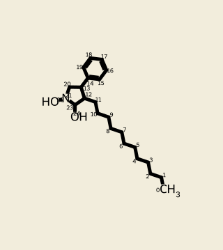 CCCCCCCCCCCCC1C(c2ccccc2)CN(O)C1O